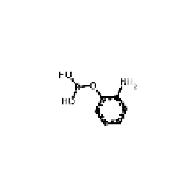 Nc1ccccc1OB(O)O